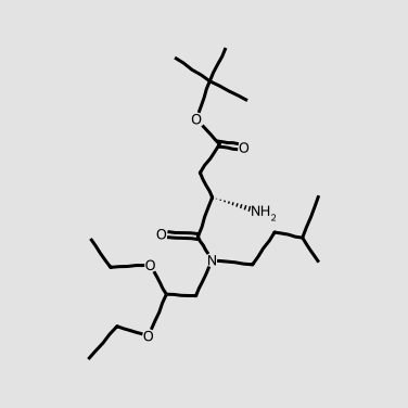 CCOC(CN(CCC(C)C)C(=O)[C@@H](N)CC(=O)OC(C)(C)C)OCC